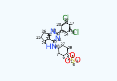 CS(=O)(=O)OC1CCC(Nc2nc(-c3cc(Cl)cc(Cl)c3)nc3c2CCC3)CC1